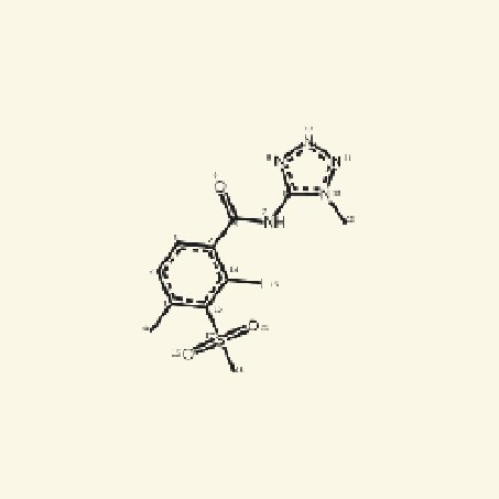 Cc1ccc(C(=O)Nc2nnnn2C)c(I)c1S(C)(=O)=O